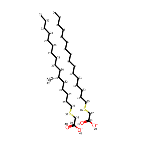 CCCCCCCCCCCCCCCCSCC(=O)[O-].CCCCCCCCCCCCCCCCSCC(=O)[O-].[Ni+2]